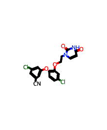 N#Cc1cc(Cl)cc(Oc2ccc(Cl)cc2OCCn2ccc(=O)[nH]c2=O)c1